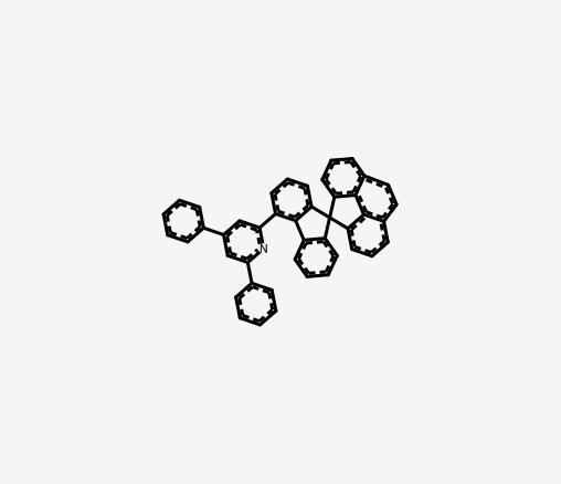 c1ccc(-c2cc(-c3ccccc3)nc(-c3cccc4c3-c3ccccc3C43c4cccc5ccc6cccc3c6c45)c2)cc1